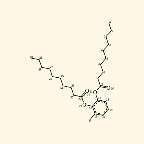 CCCCCCCCCC(=O)Oc1cccc(C)c1OC(=O)CCCCCCCCC